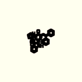 O=C1[C@@H]2CC3OC45c6ccccc6NC4[C@H](CN1CC(c1ccccc1)c1ccccc1)N2C35c1ccco1